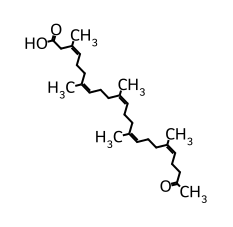 CC(=O)CCC=C(C)CCC=C(C)CCC=C(C)CCC=C(C)CCC=C(C)CC(=O)O